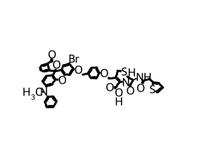 CN(c1ccccc1)c1ccc2c(c1)Oc1cc(OCc3ccc(OCC4=C(C(=O)O)N5C(=O)[C@H](NC(=O)Cc6cccs6)[C@@H]5SC4)cc3)c(Br)cc1C21OC(=O)c2ccccc21